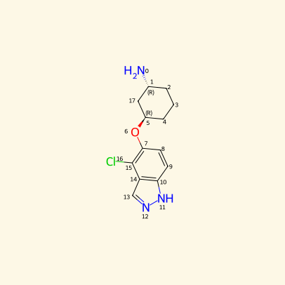 N[C@@H]1CCC[C@@H](Oc2ccc3[nH]ncc3c2Cl)C1